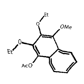 CCOc1c(OCC)c(OC(C)=O)c2ccccc2c1OC